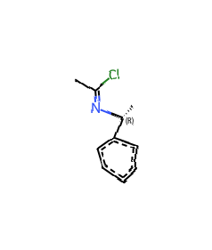 CC(Cl)=N[C@H](C)c1ccccc1